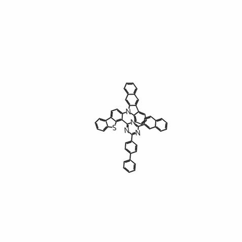 c1ccc(-c2ccc(-c3nc(-c4ccc5ccccc5c4)nc(-c4c(-n5c6ccccc6c6cc7ccccc7cc65)ccc5c4sc4ccccc45)n3)cc2)cc1